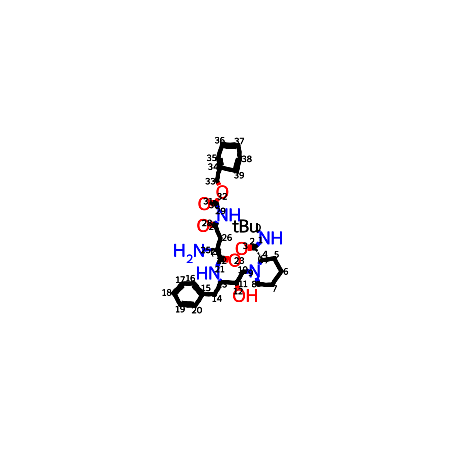 CC(C)(C)NC(=O)[C@@H]1CCCCN1CC(O)C(Cc1ccccc1)NC(=O)[C@@H](N)CC(=O)NC(=O)OCc1ccccc1